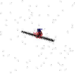 CCCCCCCCCCCCCCCCCCO[C@H](COCCCCCCCCCCCCCCCC)COP(=O)(O)OCC[N+](C)(C)C